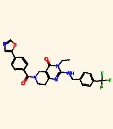 CCn1c(NCc2ccc(C(F)(F)F)cc2)nc2c(c1=O)CN(C(=O)c1ccc(-c3cnco3)cc1)CC2